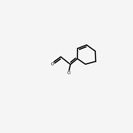 O=CC(Cl)=C1C=CCCC1